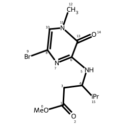 COC(=O)CC(Nc1nc(Br)cn(C)c1=O)C(C)C